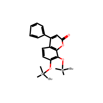 CC(C)(C)[Si](C)(C)Oc1ccc2c(-c3ccccc3)cc(=O)oc2c1O[Si](C)(C)C(C)(C)C